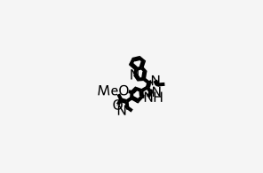 COc1cc2c(cc1-c1c(C)noc1C)[nH]c1nc(C)nc(-c3cnc4ccccc4c3)c12